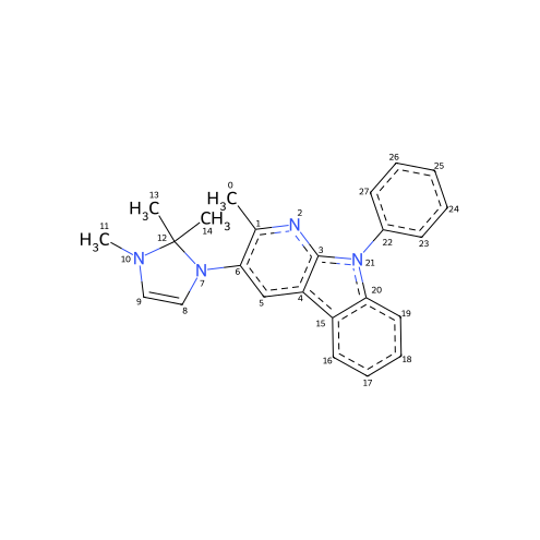 Cc1nc2c(cc1N1C=CN(C)C1(C)C)c1ccccc1n2-c1ccccc1